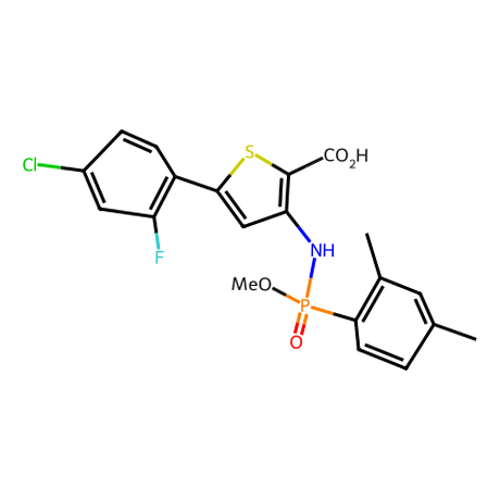 COP(=O)(Nc1cc(-c2ccc(Cl)cc2F)sc1C(=O)O)c1ccc(C)cc1C